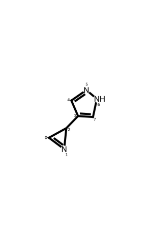 C1=NC1c1cn[nH]c1